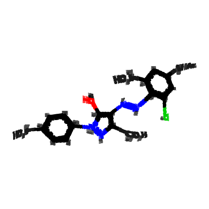 CC(=O)Nc1cc(Cl)c(N=Nc2c(C(=O)O)nn(-c3ccc(S(=O)(=O)O)cc3)c2O)c(S(=O)(=O)O)c1